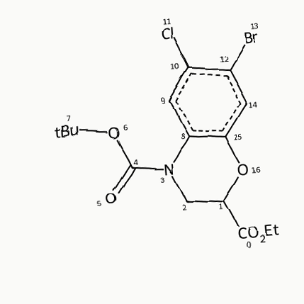 CCOC(=O)C1CN(C(=O)OC(C)(C)C)c2cc(Cl)c(Br)cc2O1